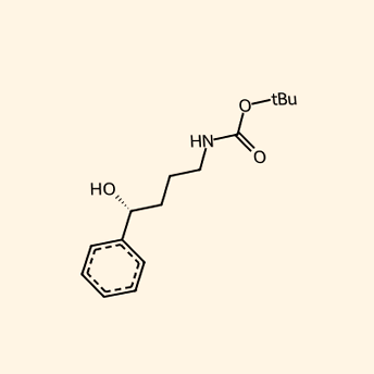 CC(C)(C)OC(=O)NCCC[C@@H](O)c1ccccc1